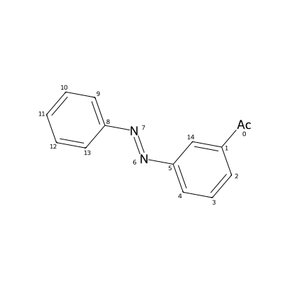 CC(=O)c1cccc(N=Nc2ccccc2)c1